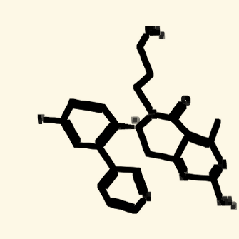 Cc1nc(N)nc2c1C(=O)N(CCCN)[C@@H](c1ccc(F)cc1-c1cccnc1)C2